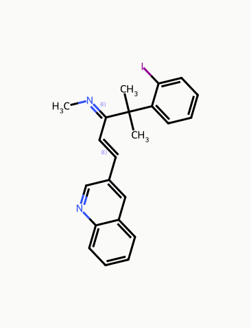 C/N=C(\C=C\c1cnc2ccccc2c1)C(C)(C)c1ccccc1I